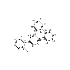 Cc1ccccc1-c1ccc2c3ccccc3c3ccccc3c2c1